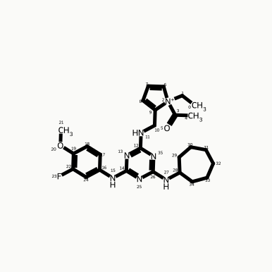 CC[N+]1(C(C)=O)C=CC=C1CNc1nc(Nc2ccc(OC)c(F)c2)nc(NC2CCCCCC2)n1